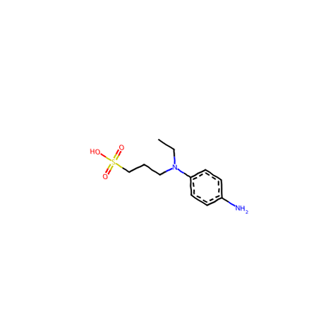 CCN(CCCS(=O)(=O)O)c1ccc(N)cc1